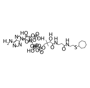 CC(C)(COP(=O)(O)OP(=O)(O)OC[C@H]1O[C@@H](n2cnc3c(N)ncnc32)[C@H](O)[C@@H]1OP(=O)(O)O)C(O)C(=O)NCCC(=O)NCCSC1CCCCCC1